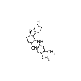 Cc1ccc(Nc2c(C#N)cnc3sc4c(c23)CCNC4)cc1C